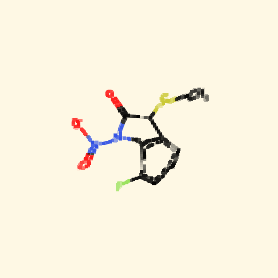 CSC1C(=O)N([N+](=O)[O-])c2c(F)cccc21